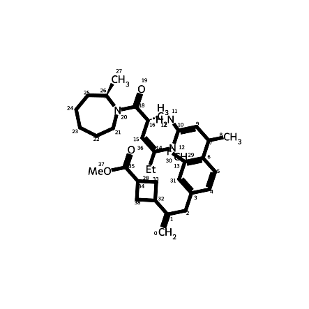 C=C(Cc1ccc(C(C)/C=C(/N)N(C)/C(=C\[C@@H](C)C(=O)N2CCCCC[C@H]2C)CC)c(F)c1)C1CC(C(=O)OC)C1